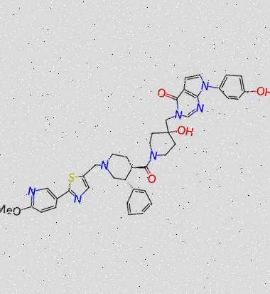 COc1ccc(-c2ncc(CN3CC[C@@H](C(=O)N4CCC(O)(Cn5cnc6c(ccn6-c6ccc(O)cc6)c5=O)CC4)[C@H](c4ccccc4)C3)s2)cn1